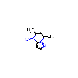 CC1CC(C)n2nccc2N1N